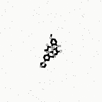 C=CC(=O)Nc1cc(OC)ccc1Nc1nc(Nc2ccc(-n3ccnc3)cc2C#N)ncc1Cl